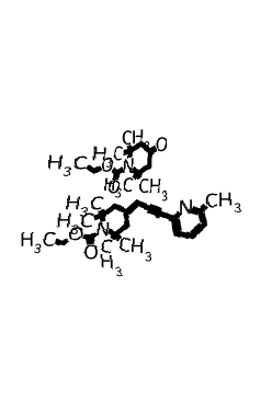 CCOC(=O)N1C(C)(C)CC(=CC#Cc2cccc(C)n2)CC1(C)C.CCOC(=O)N1C(C)(C)CC(=O)CC1(C)C